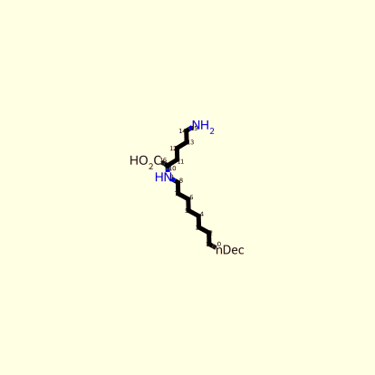 CCCCCCCCCCCCCCCCCCNC(CCCCN)C(=O)O